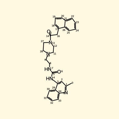 Cc1cc(NC(=O)NCCN2CCN(C(=O)Cc3cccc4ccccc34)CC2)c2ccccc2n1